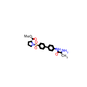 COC(=O)[C@H]1CCCN1S(=O)(=O)c1ccc(-c2ccc(NC(=O)[C@H](C)N)cc2)cc1